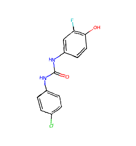 O=C(Nc1ccc(Cl)cc1)Nc1ccc(O)c(F)c1